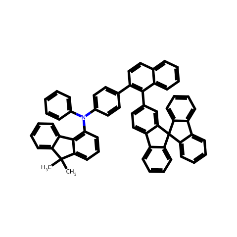 CC1(C)c2ccccc2-c2c(N(c3ccccc3)c3ccc(-c4ccc5ccccc5c4-c4ccc5c(c4)C4(c6ccccc6-c6ccccc64)c4ccccc4-5)cc3)cccc21